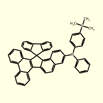 C[Si](C)(C)c1ccc(N(c2ccccc2)c2ccc3c4c(ccc3c2)-c2c(c3ccccc3c3ccccc23)C42c3ccccc3-c3ccccc32)cc1